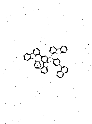 c1ccc(-n2c3ccccc3c3cccc(-c4cc(N(c5ccc(-c6cccc7ccccc67)cc5)c5cccc6c5oc5ccccc56)c5oc6ccccc6c5c4)c32)cc1